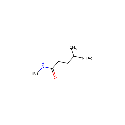 CCC(C)NC(=O)CCC(C)NC(C)=O